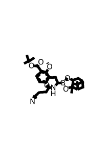 COc1c(CC(NC(=O)CCC#N)B2OC3CC4CC(C4(C)C)C3(C)O2)cccc1C(=O)OC(C)(C)C